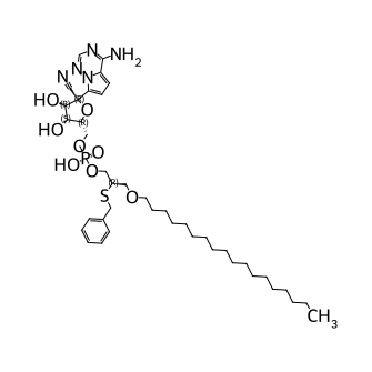 CCCCCCCCCCCCCCCCCCOC[C@H](COP(=O)(O)OC[C@H]1O[C@@](C#N)(c2ccc3c(N)ncnn23)[C@H](O)[C@@H]1O)SCc1ccccc1